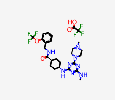 CNc1nc(N[C@H]2CC[C@H](C(=O)NCc3ccccc3OC(F)(F)F)CC2)nc(N2CCN(C)CC2)n1.O=C(O)C(F)(F)F